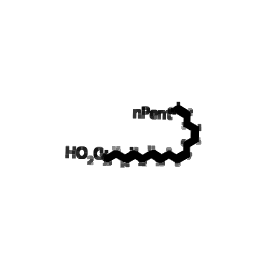 CCCCC/C=C\C/C=C\C/C=C\C/C=C/C/C=C/CCC(=O)O